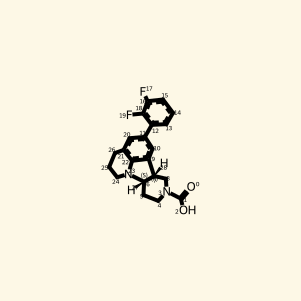 O=C(O)N1CC[C@H]2[C@@H](C1)c1cc(-c3cccc(F)c3F)cc3c1N2CCC3